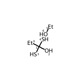 CCC(O)(S)S.CCO